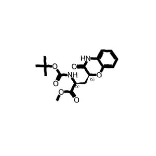 COC(=O)[C@H](C[C@@H]1Oc2ccccc2NC1=O)NC(=O)OC(C)(C)C